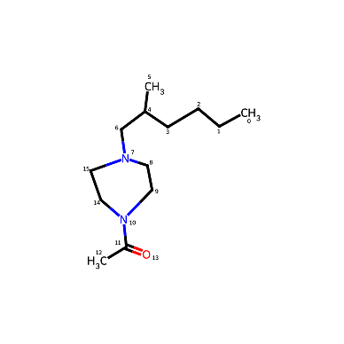 CCCCC(C)CN1CCN(C(C)=O)CC1